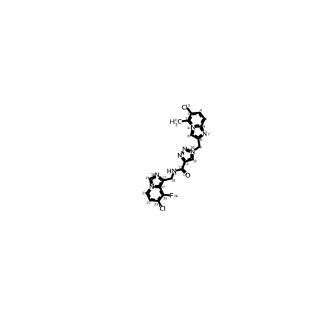 Cc1c(Cl)ccc2nc(Cn3cc(C(=O)NCc4ncn5ccc(Cl)c(F)c45)nn3)cn12